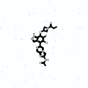 CCC(=O)N1CC(Oc2c(F)c(Cl)c(-c3cn4cc(NC(C)=O)nc4cn3)c3cn[nH]c23)C1